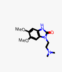 COc1cc2[nH]c(=O)n(CCN(C)C)c2cc1OC